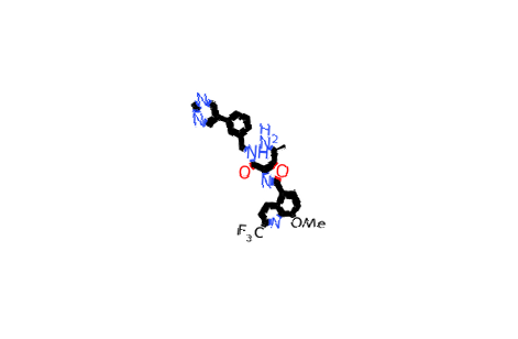 COc1ccc(-c2nc(C(=O)NCc3cccc(-c4cncnc4)c3)c([C@H](C)N)o2)c2ccc(C(F)(F)F)nc12